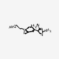 COCCCn1ncc2cc(-c3cnc(N)nc3N)ccc21